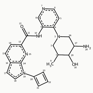 CC1CN(c2ccncc2NC(=O)c2ccc3ccn(C4=CC=C4)c3n2)CC(N)C1O